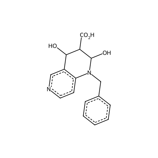 O=C(O)C1C(O)c2cnccc2N(Cc2ccccc2)C1O